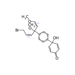 CO/C=C\C(/C=C\CBr)(OC)c1ccc(C2(O)C=CC(=O)C=C2)cc1